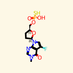 Cn1cnc2c(c(F)cn2[C@H]2CC[C@@H](COP(=O)(O)S)O2)c1=O